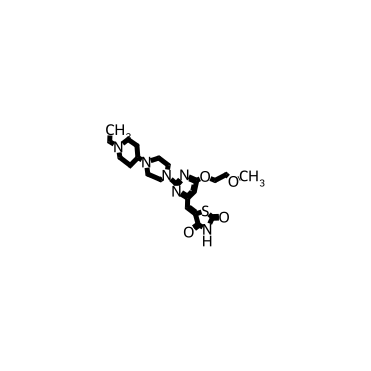 CCN1CCC(N2CCN(c3nc(/C=C4\SC(=O)NC4=O)cc(OCCOC)n3)CC2)CC1